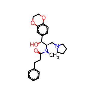 CN(C(=O)CCc1ccccc1)[C@H](CN1CCCC1)[C@@H](O)c1ccc2c(c1)OCCO2